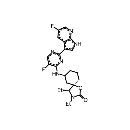 CC[C@@H]1N(CC)C(=O)O[C@@]12CCC[C@H](Nc1nc(-c3c[nH]c4ncc(F)cc34)ncc1F)C2